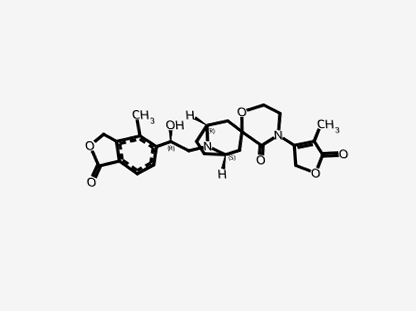 CC1=C(N2CCOC3(C[C@H]4CC[C@@H](C3)N4C[C@H](O)c3ccc4c(c3C)COC4=O)C2=O)COC1=O